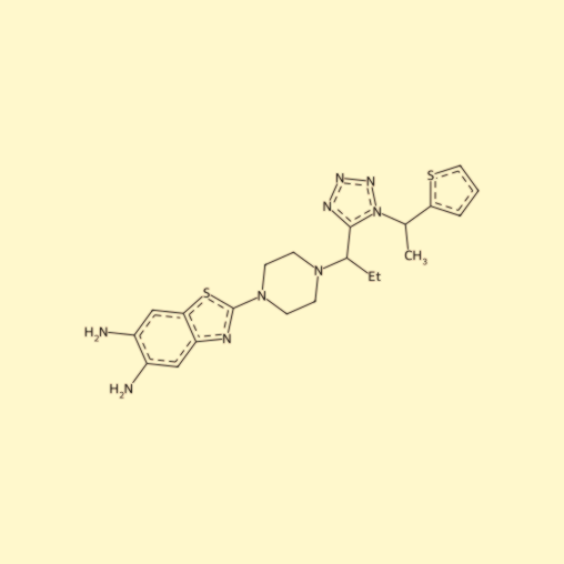 CCC(c1nnnn1C(C)c1cccs1)N1CCN(c2nc3cc(N)c(N)cc3s2)CC1